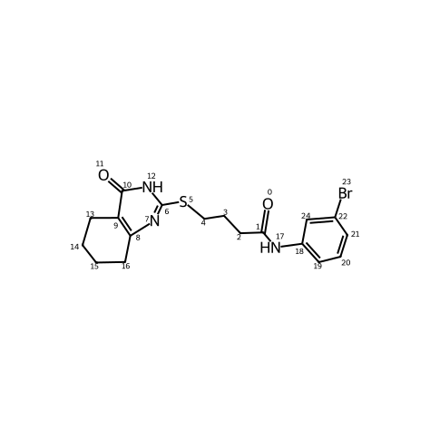 O=C(CCCSc1nc2c(c(=O)[nH]1)CCCC2)Nc1cccc(Br)c1